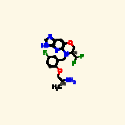 C[C@@H](N)COc1ccc(F)cc1CN1c2nc3[nH]cnc3cc2OC[C@H]1C(F)F